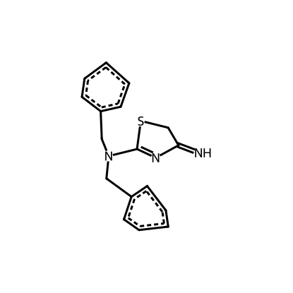 N=C1CSC(N(Cc2ccccc2)Cc2ccccc2)=N1